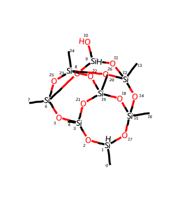 C[SiH]1O[Si]2(C)O[Si]3(C)O[SiH](O)O[Si]4(C)O[Si](C)(O1)O[Si](C)(O2)O[Si](C)(O3)O4